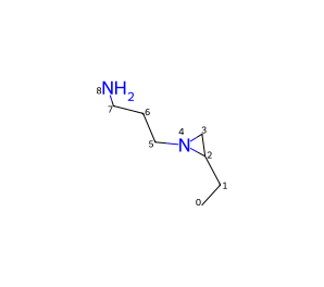 CCC1CN1CCCN